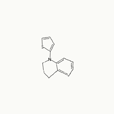 c1csc(N2CCCc3ccccc32)c1